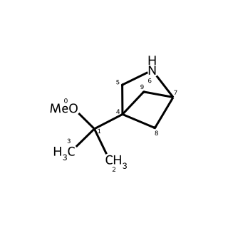 COC(C)(C)C12CNC(C1)C2